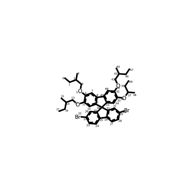 CCC(C)COc1cc2c(cc1OCC(C)CC)C1(c3cc(Br)ccc3-c3ccc(Br)cc31)c1cc(OC(C)CC)c(OCC(C)CC)cc1-2